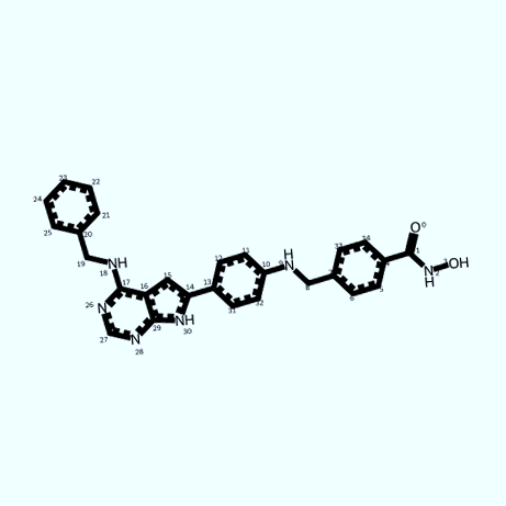 O=C(NO)c1ccc(CNc2ccc(-c3cc4c(NCc5ccccc5)ncnc4[nH]3)cc2)cc1